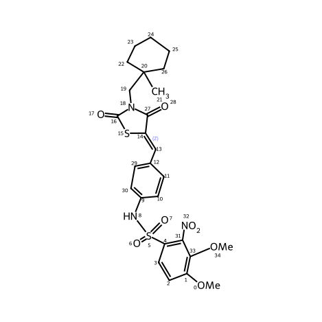 COc1ccc(S(=O)(=O)Nc2ccc(/C=C3\SC(=O)N(CC4(C)CCCCC4)C3=O)cc2)c([N+](=O)[O-])c1OC